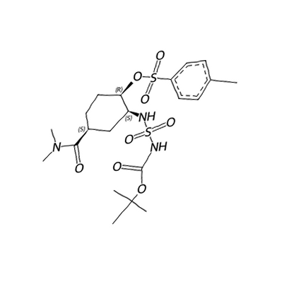 Cc1ccc(S(=O)(=O)O[C@@H]2CC[C@H](C(=O)N(C)C)C[C@@H]2NS(=O)(=O)NC(=O)OC(C)(C)C)cc1